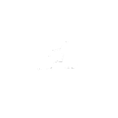 COC(=O)c1cc(C)c(OC)cc1N=C=S